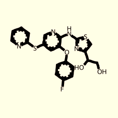 OCC(O)c1csc(Nc2ncc(Sc3ccccn3)cc2Oc2ccc(F)cc2)n1